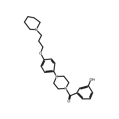 O=C(c1cccc(O)c1)N1CCN(c2ccc(OCCCN3CCCCC3)cc2)CC1